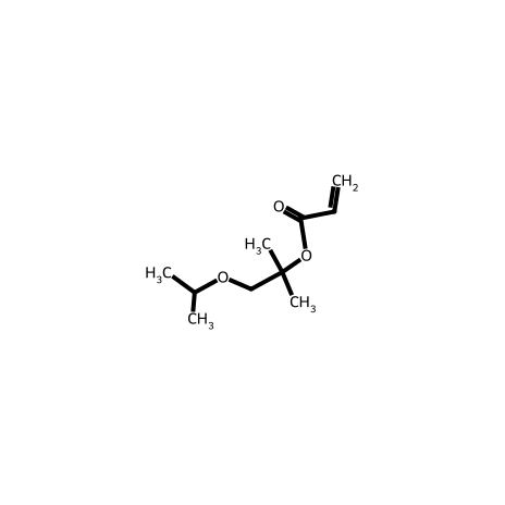 C=CC(=O)OC(C)(C)COC(C)C